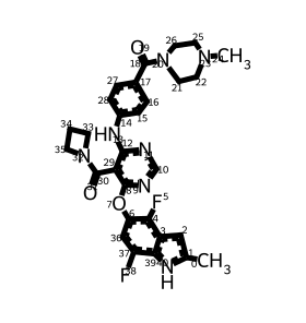 Cc1cc2c(F)c(Oc3ncnc(Nc4ccc(C(=O)N5CCN(C)CC5)cc4)c3C(=O)N3CCC3)cc(F)c2[nH]1